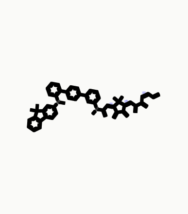 C=C/C=C\C(=C)C(=C)/C=C1\C(=C)C(=C)/C(=C\C(=C)N(C)c2cccc(-c3ccc(-c4ccccc4N(C)c4ccc5c(c4)C(C)(C)c4ccccc4-5)cc3)c2)C1(C)C